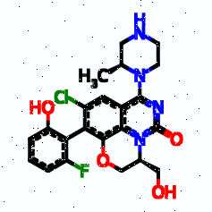 C[C@H]1CNCCN1c1nc(=O)n2c3c(c(-c4c(O)cccc4F)c(Cl)cc13)OC[C@@H]2CO